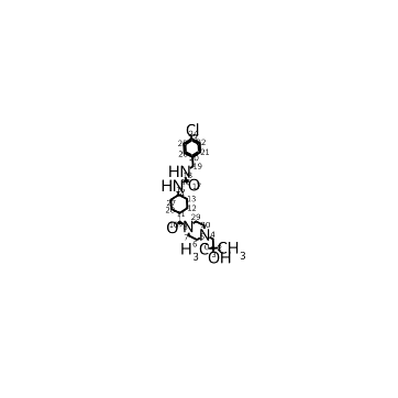 CC(C)(O)CN1CCN(C(=O)[C@H]2CC[C@H](NC(=O)NCc3ccc(Cl)cc3)CC2)CC1